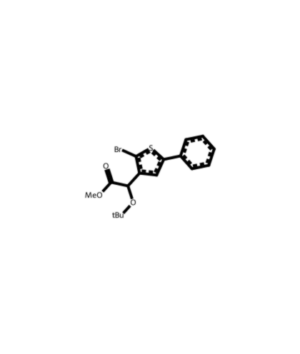 COC(=O)C(OC(C)(C)C)c1cc(-c2ccccc2)sc1Br